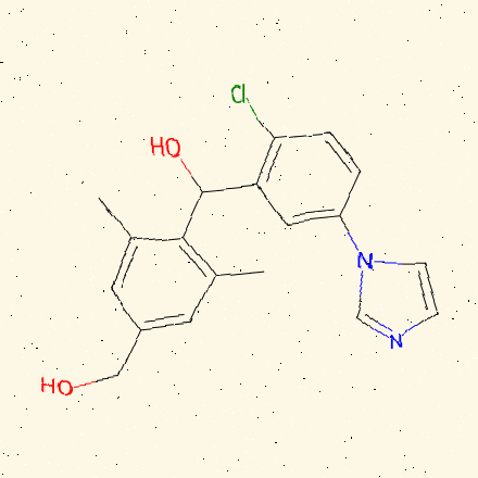 Cc1cc(CO)cc(C)c1C(O)c1cc(-n2ccnc2)ccc1Cl